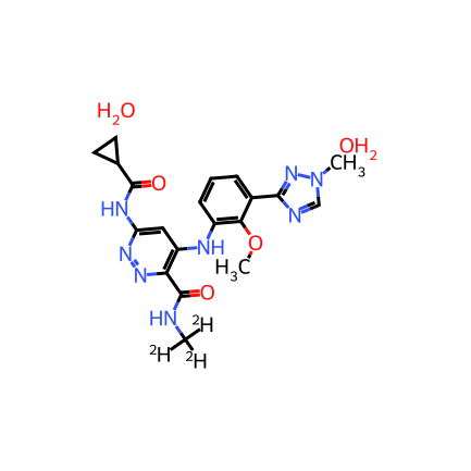 O.O.[2H]C([2H])([2H])NC(=O)c1nnc(NC(=O)C2CC2)cc1Nc1cccc(-c2ncn(C)n2)c1OC